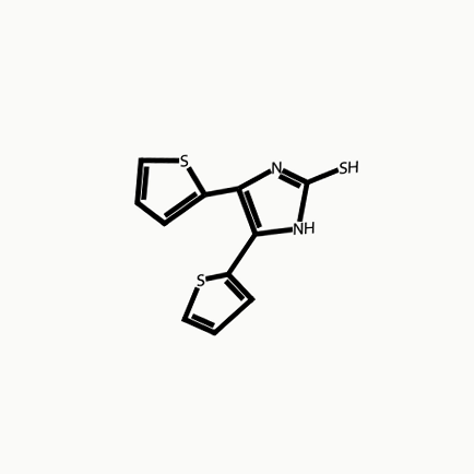 Sc1nc(-c2cccs2)c(-c2cccs2)[nH]1